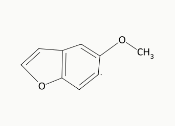 COc1[c]cc2occc2c1